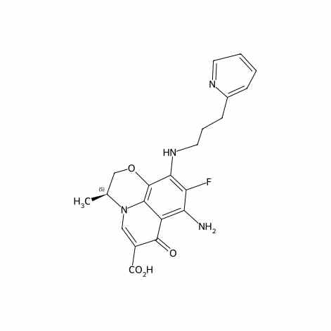 C[C@H]1COc2c(NCCCc3ccccn3)c(F)c(N)c3c(=O)c(C(=O)O)cn1c23